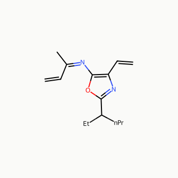 C=C/C(C)=N\c1oc(C(CC)CCC)nc1C=C